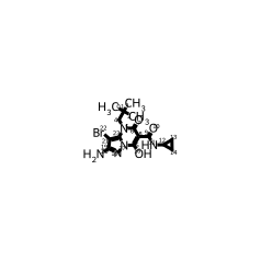 CC(C)(C)Cn1c(=O)c(C(=O)NC2CC2)c(O)n2nc(N)c(Br)c12